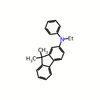 CCN(c1ccccc1)c1ccc2c(c1)C(C)(C)c1ccccc1-2